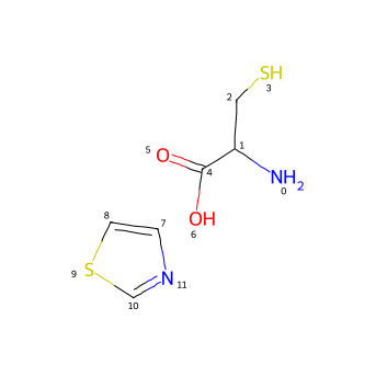 NC(CS)C(=O)O.c1cscn1